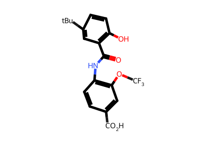 CC(C)(C)c1ccc(O)c(C(=O)Nc2ccc(C(=O)O)cc2OC(F)(F)F)c1